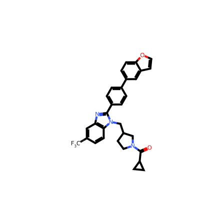 O=C(C1CC1)N1CCC(Cn2c(-c3ccc(-c4ccc5occc5c4)cc3)nc3cc(C(F)(F)F)ccc32)C1